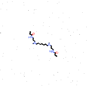 C=CC(=O)NCCCN(C)CCCCCCCN(C)CCCNC(=O)C=C